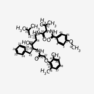 COc1ccc(C(=O)N[C@H](C(=O)N[C@@H](CC(C)C)C[C@H](O)[C@H](Cc2ccccc2)NC(=O)COc2c(C)cccc2C)C(C)C)cc1